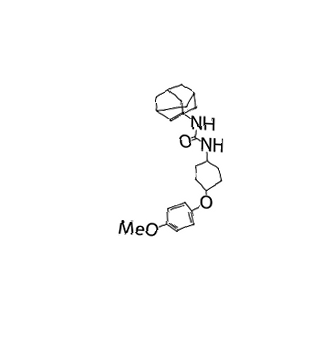 COc1ccc(OC2CCC(NC(=O)NC34CC5CC(CC(C5)C3)C4)CC2)cc1